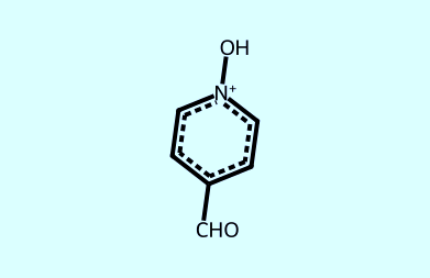 O=Cc1cc[n+](O)cc1